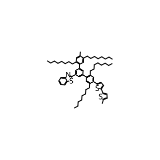 CCCCCCCCc1cc(-c2cc(-c3nc4ccccc4s3)cc(-c3cc(CCCCCCCC)c(-c4ccc(-c5ccc(C)s5)s4)cc3CCCCCCCC)c2)c(CCCCCCCC)cc1C